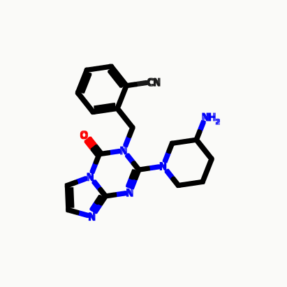 N#Cc1ccccc1Cn1c(N2CCCC(N)C2)nc2nccn2c1=O